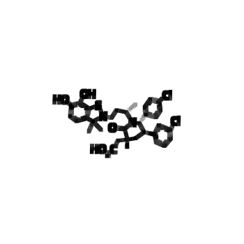 C[C@@H](CCN1Sc2c(ccc(O)c2O)C1(C)C)N1C(=O)[C@@](C)(CC(=O)O)C[C@H](c2cccc(Cl)c2)[C@H]1c1ccc(Cl)cc1